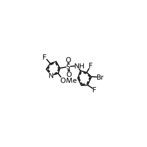 COc1ncc(F)cc1S(=O)(=O)Nc1ccc(F)c(Br)c1F